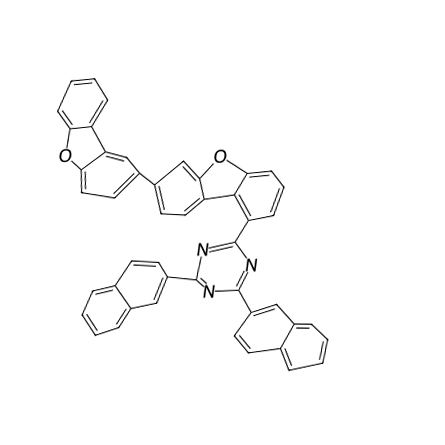 c1ccc2cc(-c3nc(-c4ccc5ccccc5c4)nc(-c4cccc5oc6cc(-c7ccc8oc9ccccc9c8c7)ccc6c45)n3)ccc2c1